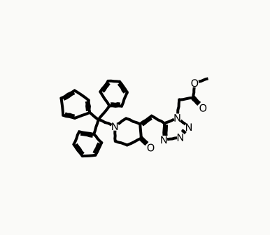 COC(=O)Cn1nnnc1C=C1CN(C(c2ccccc2)(c2ccccc2)c2ccccc2)CCC1=O